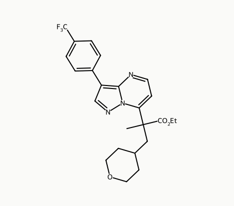 CCOC(=O)C(C)(CC1CCOCC1)c1ccnc2c(-c3ccc(C(F)(F)F)cc3)cnn12